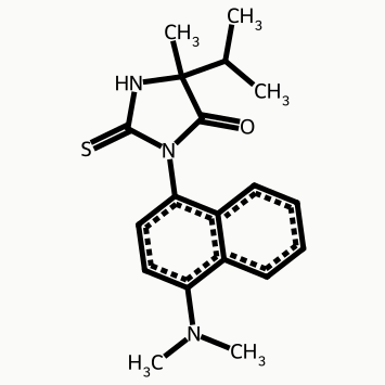 CC(C)C1(C)NC(=S)N(c2ccc(N(C)C)c3ccccc23)C1=O